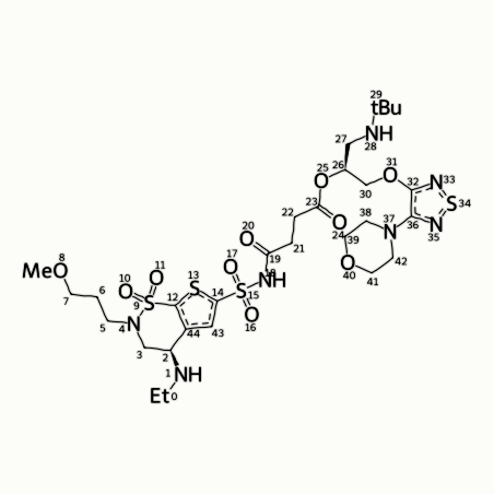 CCN[C@H]1CN(CCCOC)S(=O)(=O)c2sc(S(=O)(=O)NC(=O)CCC(=O)O[C@@H](CNC(C)(C)C)COc3nsnc3N3CCOCC3)cc21